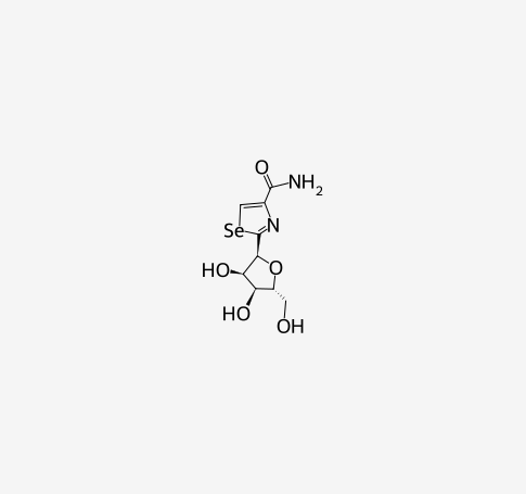 NC(=O)c1c[se]c([C@H]2O[C@H](CO)[C@@H](O)[C@H]2O)n1